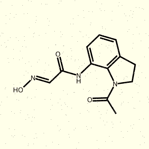 CC(=O)N1CCc2cccc(NC(=O)/C=N/O)c21